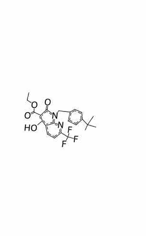 CCOC(=O)c1c(O)c2ccc(C(F)(F)F)nc2n(Cc2ccc(C(C)(C)C)cc2)c1=O